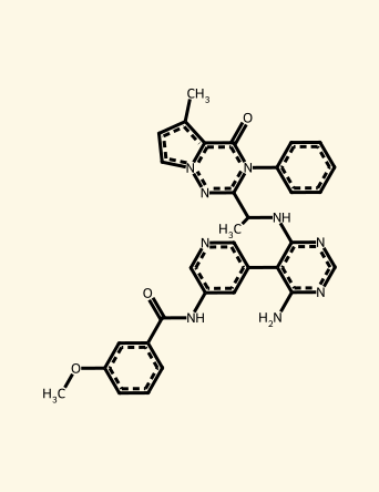 COc1cccc(C(=O)Nc2cncc(-c3c(N)ncnc3NC(C)c3nn4ccc(C)c4c(=O)n3-c3ccccc3)c2)c1